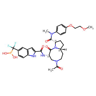 COCCOc1ccc(N(C)C(=O)[C@@H]2CC[C@@H]3CCN(C(C)=O)C[C@H](NC(=O)c4cc5cc(C(F)(F)P(O)O)ccc5[nH]4)C(=O)N32)cc1